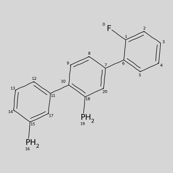 Fc1ccccc1-c1ccc(-c2cccc(P)c2)c(P)c1